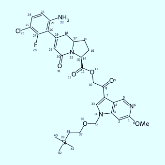 COc1cc2c(cn1)c(C(=O)COC(=O)[C@@H]1CCC3CC(c4c(N)ccc(Cl)c4F)=CC(=O)N31)cn2COCC[Si](C)(C)C